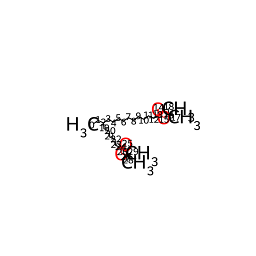 CCC(CCCCCCCCCCC(=O)OC(C)C)CCCCCC(=O)OC(C)C